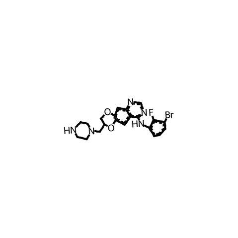 Fc1c(Br)cccc1Nc1ncnc2cc3c(cc12)OC(CN1CCNCC1)CO3